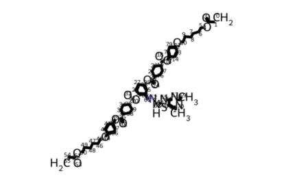 C=CC(=O)OCCCCCCOc1ccc(OC(=O)[C@H]2CC[C@H](C(=O)Oc3ccc(OC(=O)[C@H]4CC[C@H](C(=O)Oc5ccc(OCCCCCCOC(=O)C=C)cc5)CC4)c(/C=N/Nc4nc5nc(C)nc(C)c5s4)c3)CC2)cc1